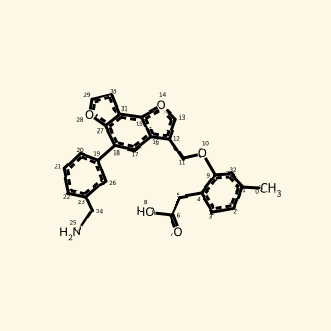 Cc1ccc(CC(=O)O)c(OCc2coc3c2cc(-c2cccc(CN)c2)c2occc23)c1